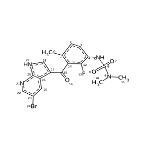 Cc1ccc(NS(=O)(=O)N(C)C)c(F)c1C(=O)c1c[nH]c2ncc(Br)cc12